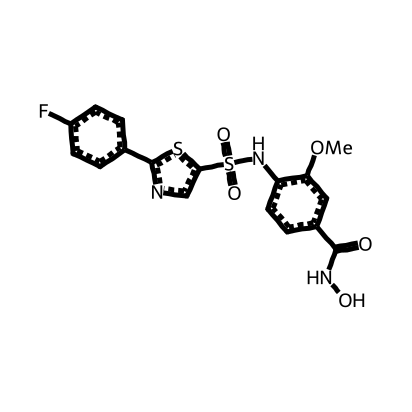 COc1cc(C(=O)NO)ccc1NS(=O)(=O)c1cnc(-c2ccc(F)cc2)s1